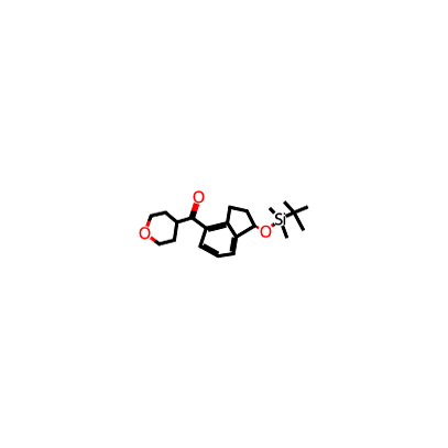 CC(C)(C)[Si](C)(C)O[C@H]1CCc2c(C(=O)C3CCOCC3)cccc21